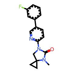 CN1C(=O)N(c2ccc(-c3cccc(F)c3)cn2)CC12CC2